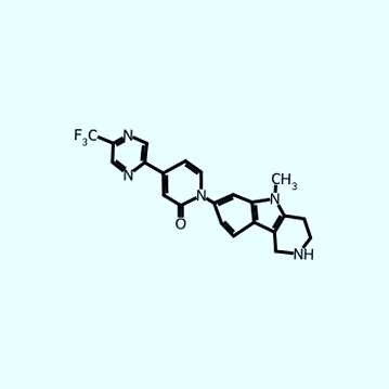 Cn1c2c(c3ccc(-n4ccc(-c5cnc(C(F)(F)F)cn5)cc4=O)cc31)CNCC2